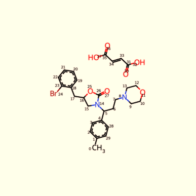 Cc1ccc(C(CCN2CCOCC2)N2CC(Cc3ccccc3Br)OC2=O)cc1.O=C(O)C=CC(=O)O